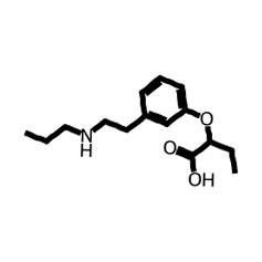 CCCNCCc1cccc(OC(CC)C(=O)O)c1